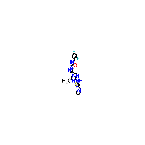 Cc1cn2c(-c3cnn(CC(=O)NCC4=C(F)CC(F)C=C4)c3)cnc2c(Nc2cc(CN3CCCCC3)ns2)n1